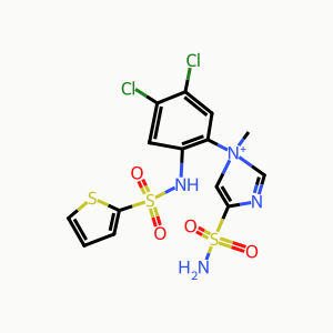 C[N+]1(c2cc(Cl)c(Cl)cc2NS(=O)(=O)c2cccs2)C=NC(S(N)(=O)=O)=C1